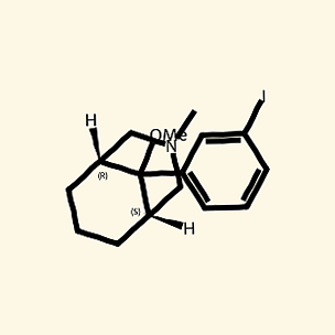 COC1(c2cccc(I)c2)[C@@H]2CCC[C@H]1CN(C)C2